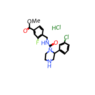 COC(=O)c1ccc(CNC(=O)N2CCNCC2c2cccc(Cl)c2)c(F)c1.Cl